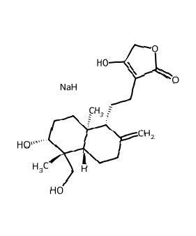 C=C1CC[C@@H]2[C@](C)(CO)[C@H](O)CC[C@@]2(C)[C@@H]1CCC1=C(O)COC1=O.[NaH]